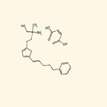 CC(N)(CO)CCc1ccc(/C=C/CCCc2ccccc2)s1.O=C(O)/C=C\C(=O)O